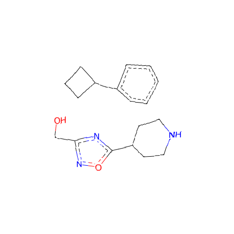 OCc1noc(C2CCNCC2)n1.c1ccc(C2CCC2)cc1